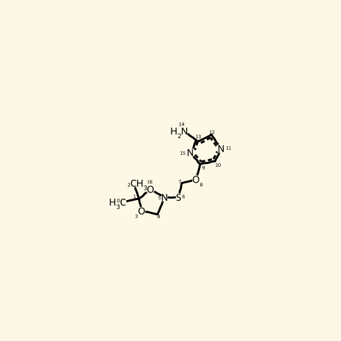 CC1(C)OCN(SCOc2cncc(N)n2)O1